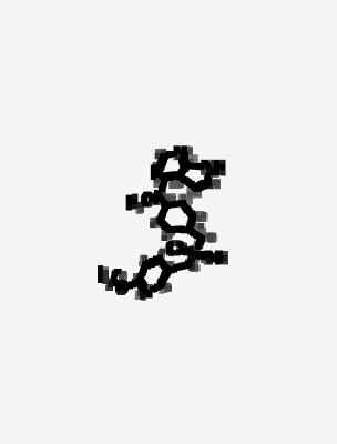 COc1ccc(CS(=N)(=O)CC2CCC(N(C)c3ncnc4[nH]ccc34)CC2)cn1